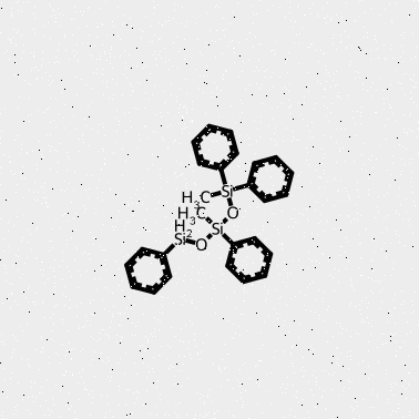 C[Si](O[SiH2]c1ccccc1)(O[Si](C)(c1ccccc1)c1ccccc1)c1ccccc1